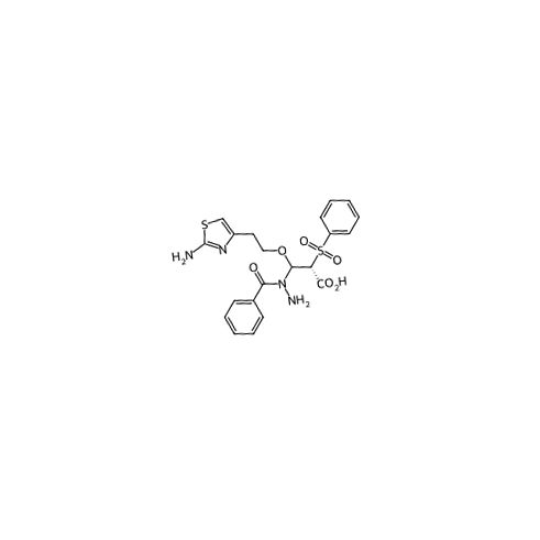 Nc1nc(CCOC([C@@H](C(=O)O)S(=O)(=O)c2ccccc2)N(N)C(=O)c2ccccc2)cs1